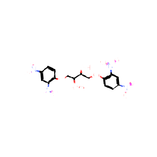 O=[N+]([O-])c1ccc(OCC(O)C(O)COc2ccc([N+](=O)[O-])cc2[N+](=O)[O-])c([N+](=O)[O-])c1